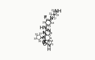 O=C1NCC[C@@]12Cc1cnc(Nc3ccc(N4CC5(CNC5)C4)c(F)c3)nc1N(C1CCCC1)C2=O